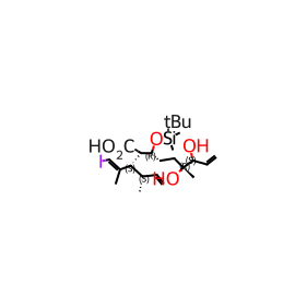 C=C[C@H](C)[C@H](C(C)=CI)C(C(=O)O)[C@@H](CC[C@@](C)(O)[C@@H](O)C=C)O[Si](C)(C)C(C)(C)C